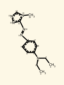 CCN(CC)c1ccc(/N=N/c2nncn2C)cc1